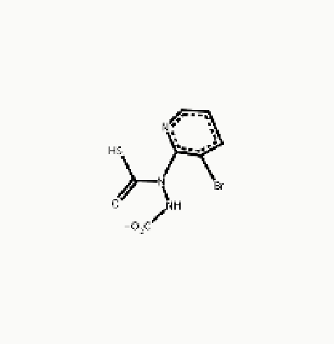 O=C(O)NN(C(=O)S)c1ncccc1Br